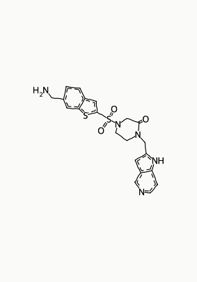 NCc1ccc2cc(S(=O)(=O)N3CCN(Cc4cc5cnccc5[nH]4)C(=O)C3)sc2c1